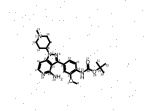 COc1cc(-c2nn(C3CCN(C)CC3)c3ccnc(N)c23)ccc1NC(=O)OC(C)(C)C